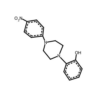 O=[N+]([O-])c1ccc(N2CCN(c3ccccc3O)CC2)cc1